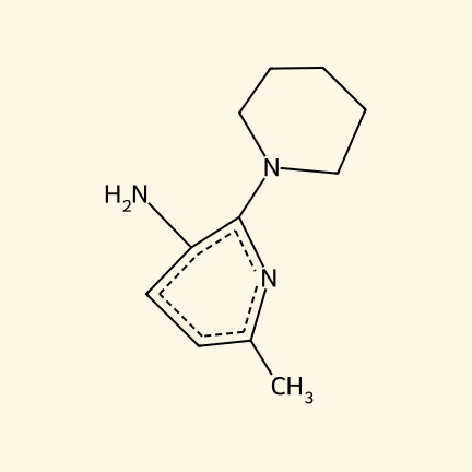 Cc1ccc(N)c(N2CCCCC2)n1